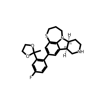 CC1(c2cc(F)ccc2-c2cc3c4c(c2)[C@@H]2CNCC[C@@H]2N4CCCS3)OCCO1